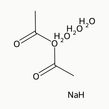 CC(=O)OC(C)=O.O.O.O.[NaH]